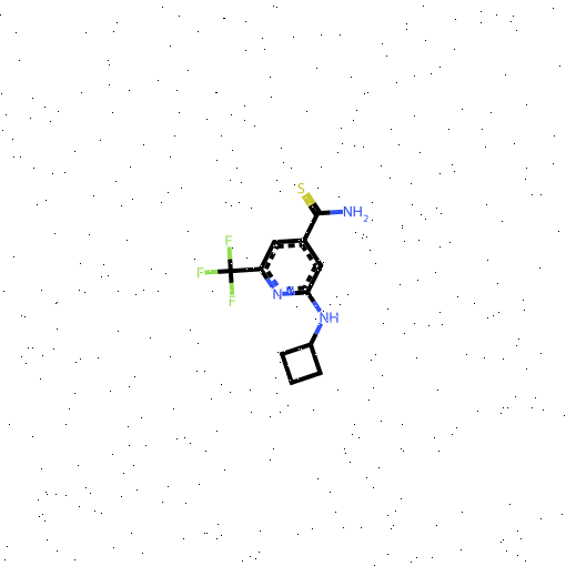 NC(=S)c1cc(NC2CCC2)nc(C(F)(F)F)c1